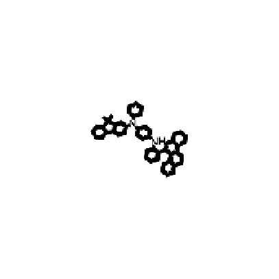 CC1(C)c2ccccc2-c2ccc(N(c3ccccc3)c3ccc(Nc4ccccc4-c4cc5ccccc5c5ccc6ccccc6c45)cc3)cc21